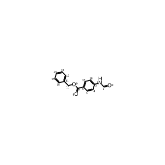 O=CNc1ccc(C(=O)OCc2ccccc2)cc1